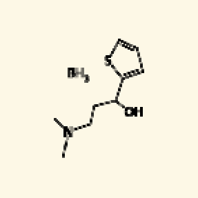 B.CN(C)CCC(O)c1cccs1